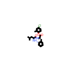 Cc1cc(Cl)ccc1OC(=O)[C@H](Cc1ccccc1)NC(=O)[C@@H](N)CC(C)C